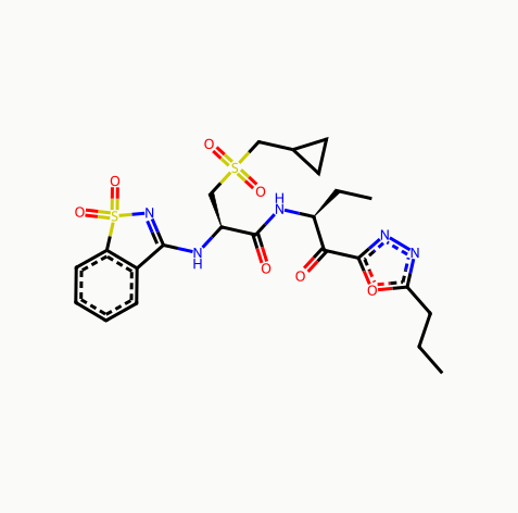 CCCc1nnc(C(=O)[C@H](CC)NC(=O)[C@H](CS(=O)(=O)CC2CC2)NC2=NS(=O)(=O)c3ccccc32)o1